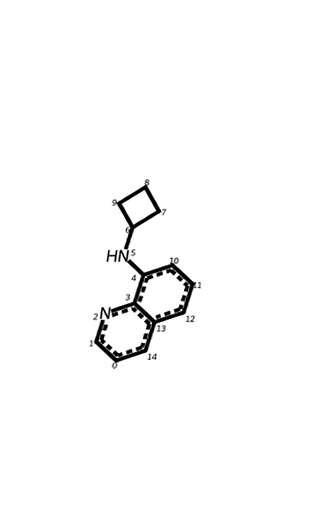 c1cnc2c(NC3CCC3)cccc2c1